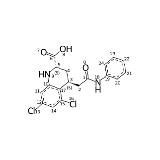 O=C(C[C@@H]1C[C@@H](C(=O)O)Nc2cc(Cl)cc(Cl)c21)Nc1ccccc1